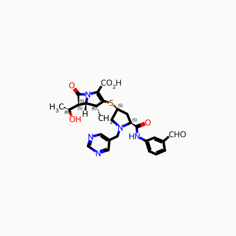 C[C@@H](O)[C@H]1C(=O)N2C(C(=O)O)=C(S[C@H]3C[C@@H](C(=O)Nc4cccc(C=O)c4)N(Cc4cncnc4)C3)[C@H](C)[C@H]12